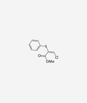 COC(=O)C(=CCl)Sc1ccccc1